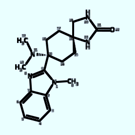 Cn1c2ccccc2nc1[C@]1(N(C)C)CC[C@@]2(CC1)CNC(=O)N2